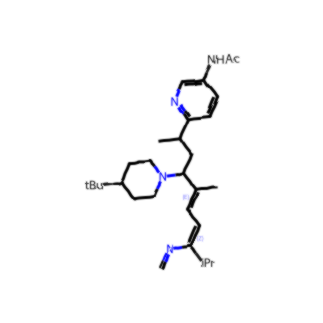 C=N/C(=C\C=C(/C)C(CC(C)c1ccc(NC(C)=O)cn1)N1CCC(C(C)(C)C)CC1)C(C)C